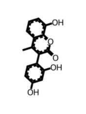 Cc1c(-c2ccc(O)cc2O)c(=O)oc2c(O)cccc12